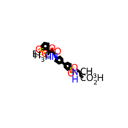 CCS(=O)(=O)c1cccc2oc(C(=O)Nc3ccc(-c4ccc(S(=O)(=O)NCC(C)CC(=O)O)cc4)cc3)c(C)c12